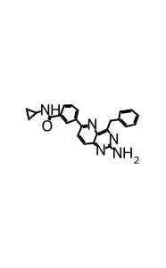 Nc1nc(Cc2ccccc2)c2nc(-c3cccc(C(=O)NC4CC4)c3)ccc2n1